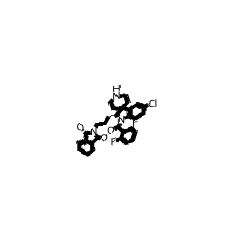 O=C1c2ccccc2C(=O)N1CCC[C@H]1N(C(=O)c2c(F)cccc2F)c2ccc(Cl)cc2C12CCNCC2